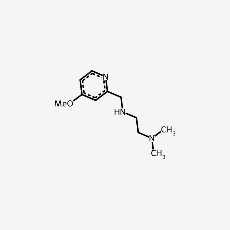 COc1ccnc(CNCCN(C)C)c1